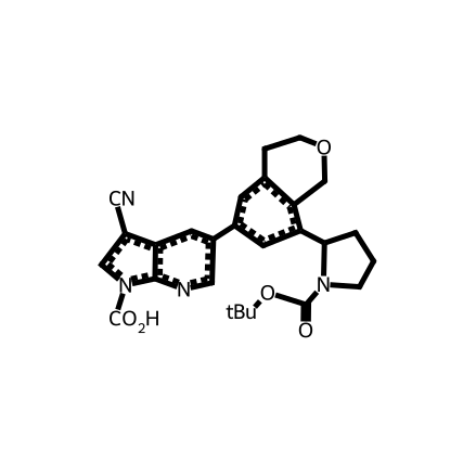 CC(C)(C)OC(=O)N1CCCC1c1cc(-c2cnc3c(c2)c(C#N)cn3C(=O)O)cc2c1COCC2